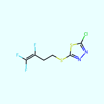 FC(F)=C(F)CCSc1nnc(Cl)s1